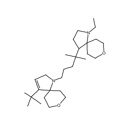 CCN1CCC(C(C)(C)CCCN2CC=C(C(C)(C)C)C23CCOCC3)C12CCOCC2